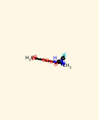 COC(=O)CCCCCCOCCOCCOCCNC(=O)c1ccc2c(c1)c1cn(C)nc1n2-c1ccc(C(F)(F)F)cc1